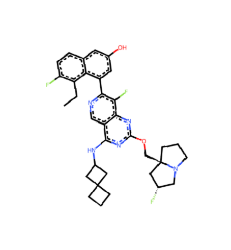 CCc1c(F)ccc2cc(O)cc(-c3ncc4c(NC5CC6(CCC6)C5)nc(OC[C@@]56CCCN5C[C@H](F)C6)nc4c3F)c12